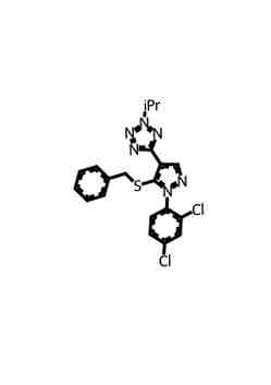 CC(C)n1nnc(-c2cnn(-c3ccc(Cl)cc3Cl)c2SCc2ccccc2)n1